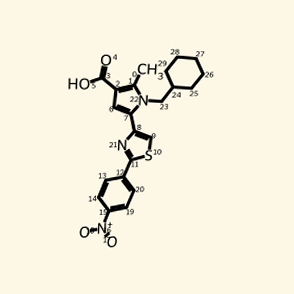 Cc1c(C(=O)O)cc(-c2csc(-c3ccc([N+](=O)[O-])cc3)n2)n1CC1CCCCC1